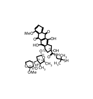 COc1cccc2c1C(=O)c1c(O)c3c(c(O)c1C2=O)C[C@@](O)(C(=O)NCC(C)(C)S)C[C@@H]3O[C@H]1C[C@H](N2CCO[C@H](OC)[C@H]2O)[C@H](C)[C@H](C)O1